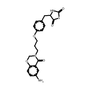 Nc1ccc2c(c1)C(=O)N(CCCOc1ccc(CC3NC(=O)SC3=O)cc1)CO2